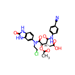 CC(=O)O[C@@H](C(=O)N(CCCl)c1ccc2[nH]c(=O)[nH]c2c1)[C@@H](CC(=O)O)C(=O)Nc1ccc(C#N)cc1